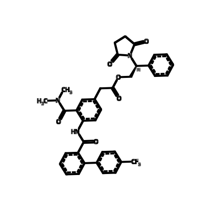 CN(C)C(=O)c1cc(CC(=O)OC[C@H](c2ccccc2)N2C(=O)CCC2=O)ccc1NC(=O)c1ccccc1-c1ccc(C(F)(F)F)cc1